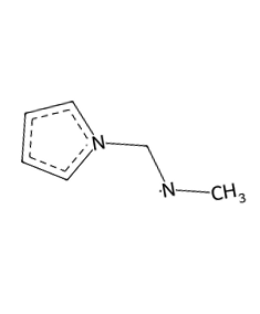 C[N]Cn1cccc1